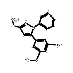 COc1cc(OC(F)(F)F)cc(-c2cc(OC(=O)O)nn2-c2cccnc2)c1